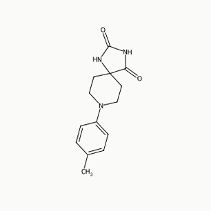 Cc1ccc(N2CCC3(CC2)NC(=O)NC3=O)cc1